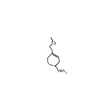 COCC1=CCC(N)CC1